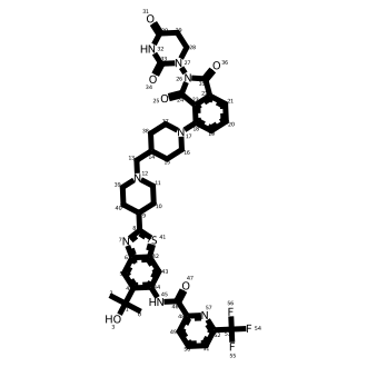 CC(C)(O)c1cc2nc(C3CCN(CC4CCN(c5cccc6c5C(=O)N(N5CCC(=O)NC5=O)C6=O)CC4)CC3)sc2cc1NC(=O)c1cccc(C(F)(F)F)n1